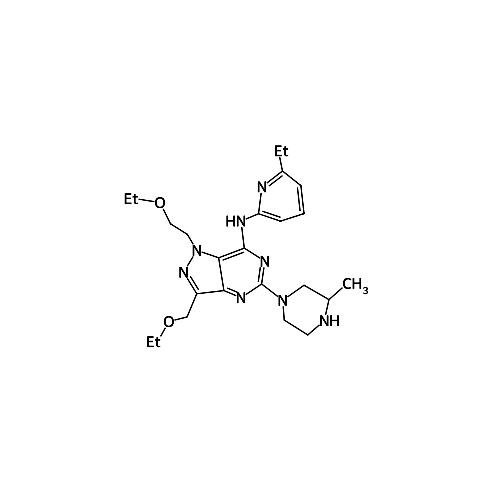 CCOCCn1nc(COCC)c2nc(N3CCNC(C)C3)nc(Nc3cccc(CC)n3)c21